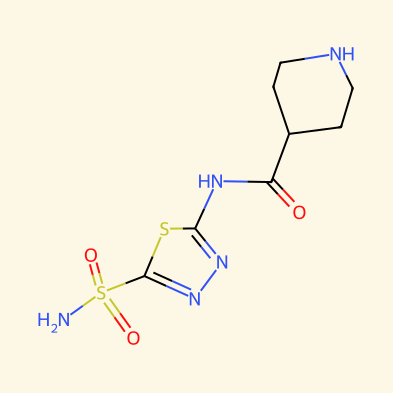 NS(=O)(=O)c1nnc(NC(=O)C2CCNCC2)s1